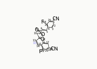 N#Cc1ccc(C=CS(=O)(=O)CC(=O)/C=C\c2ccc(C#N)cc2F)c(F)c1